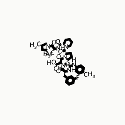 CC(=O)[C@@H]1C[C@@H](C)CN1C(=O)[C@H](C)NC(=O)[C@@H]1CCCCN1C(=O)[C@@H]1CCCN1C(=O)[C@@H](NC(=O)[C@H](Cc1cccc(F)c1)NC(=O)Nc1ccc(C)cc1)[C@H](C)O